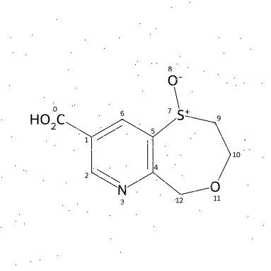 O=C(O)c1cnc2c(c1)[S+]([O-])CCOC2